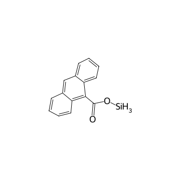 O=C(O[SiH3])c1c2ccccc2cc2ccccc12